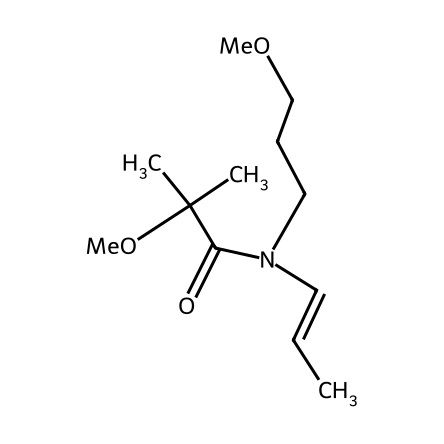 C/C=C/N(CCCOC)C(=O)C(C)(C)OC